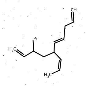 [CH]=CC/C=C/C(/C=C\C)CC(C=C)C(C)C